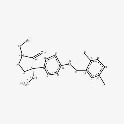 CC(=O)CN1CCC(NC(=O)O)(c2ccc(OCc3cc(C)ccc3C)cc2)C1=O